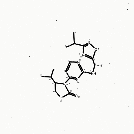 CC(C)c1noc([C@H](C)Nc2nccc(N3C(=O)OCC3C(C)C)n2)n1